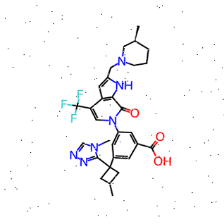 CC1CC(c2cc(C(=O)O)cc(-n3cc(C(F)(F)F)c4cc(CN5CCC[C@H](C)C5)[nH]c4c3=O)c2)(c2nncn2C)C1